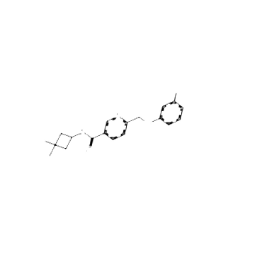 CC1(C)CC(NC(=O)c2ccc(COc3cccc(F)c3)nc2)C1